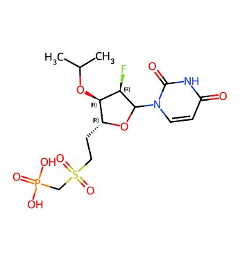 CC(C)O[C@@H]1[C@@H](CCS(=O)(=O)CP(=O)(O)O)OC(n2ccc(=O)[nH]c2=O)[C@@H]1F